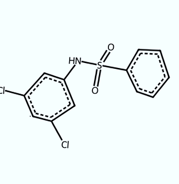 O=S(=O)(Nc1cc(Cl)[c]c(Cl)c1)c1ccccc1